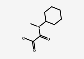 CN(C(=O)C(=O)Cl)C1CCCCC1